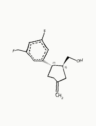 C=C1C[C@H](CO)[C@@H](c2cc(F)cc(F)c2)C1